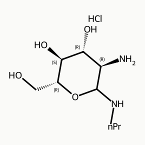 CCCNC1O[C@H](CO)[C@@H](O)[C@H](O)[C@H]1N.Cl